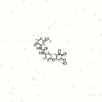 CCOc1cc(Oc2ccc(NC(=O)Nc3cc(C(F)(F)F)ccc3F)cc2)c[nH]c1=O